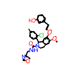 COc1cc2c(cc1OCCc1cccc(O)c1)C(c1ccc(C)cc1Cl)N(C(=O)NCc1cocn1)CC2